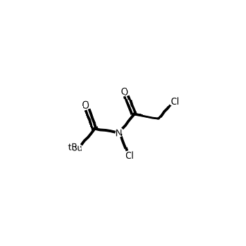 CC(C)(C)C(=O)N(Cl)C(=O)CCl